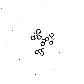 O=P(c1ccccc1)(c1ccccc1)c1ccc(-n2c3ccc(Sc4cc5ccccc5c5ccccc45)cc3c3cc(P(=O)(c4ccccc4)c4ccccc4)ccc32)cc1